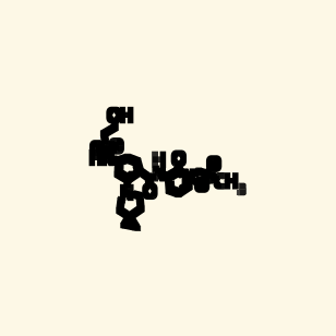 CS(=O)(=O)Cn1cccc(NC(=O)c2ccc(NS(=O)(=O)CCO)cc2N2CCC3(CC2)CC3)c1=O